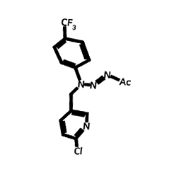 CC(=O)N=NN(Cc1ccc(Cl)nc1)c1ccc(C(F)(F)F)cc1